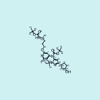 C[C@@H](CCCOc1cc(N(C(=O)OC(C)(C)C)c2cc([C@H]3CC[C@@H](O)C3)nn2C(C)(C)C)cc(F)n1)NC(=O)OC(C)(C)C